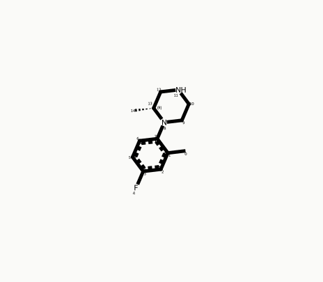 Cc1cc(F)ccc1N1CCNC[C@H]1C